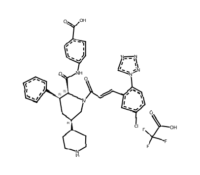 O=C(O)C(F)(F)F.O=C(O)c1ccc(NC(=O)[C@@H]2[C@H](c3ccccc3)C[C@H](C3CCNCC3)CN2C(=O)C=Cc2cc(Cl)ccc2-n2cnnn2)cc1